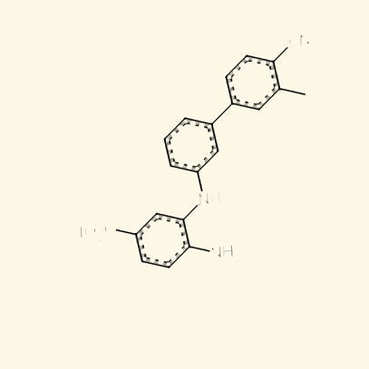 Cc1cc(-c2cccc(Nc3cc(C(=O)O)ccc3N)c2)ccc1C#N